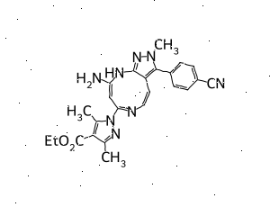 CCOC(=O)c1c(C)nn(-c2cc(N)[nH]c3nn(C)c(-c4ccc(C#N)cc4)c3ccn2)c1C